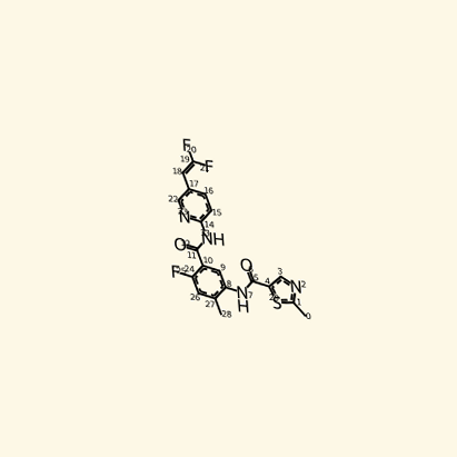 Cc1ncc(C(=O)Nc2cc(C(=O)Nc3ccc(C=C(F)F)cn3)c(F)cc2C)s1